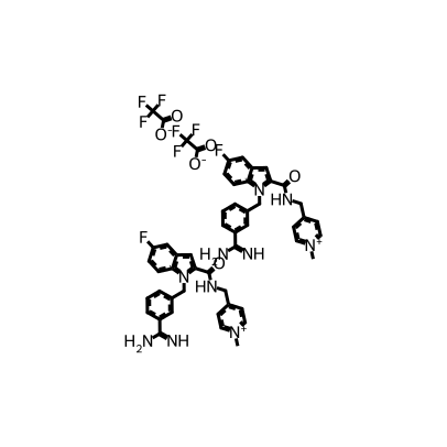 C[n+]1ccc(CNC(=O)c2cc3cc(F)ccc3n2Cc2cccc(C(=N)N)c2)cc1.C[n+]1ccc(CNC(=O)c2cc3cc(F)ccc3n2Cc2cccc(C(=N)N)c2)cc1.O=C([O-])C(F)(F)F.O=C([O-])C(F)(F)F